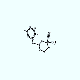 N#CC1(O)CCCN(Cc2ccccc2)C1